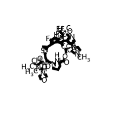 CO[C@@H](C)c1ncc(N2CCN(C)CC2)cc1-c1c2c3cc(c(F)cc3n1CC(F)(F)F)-c1csc(n1)C[C@H](NC(=O)[C@H](C(C)C)N(C)C(=O)N1CCOCC1)C(=O)N1CCC[C@H](N1)C(=O)OCC(C)(C)C2